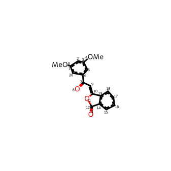 COc1cc(OC)cc(C(=O)C=C2OC(=O)c3ccccc32)c1